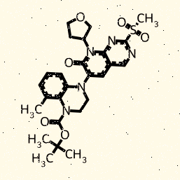 Cc1cccc2c1N(C(=O)OC(C)(C)C)CCN2c1cc2cnc(S(C)(=O)=O)nc2n(C2CCOC2)c1=O